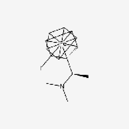 C[C@@H](N(C)C)[C@@]12[CH]3[CH]4[CH]5[C]1(I)[Fe]45321678[CH]2[CH]1[CH]6[CH]7[CH]28